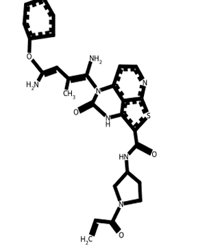 C=CC(=O)N1CCC(NC(=O)c2sc3nccc4c3c2NC(=O)N4/C(N)=C(C)/C=C(\N)Oc2ccccc2)C1